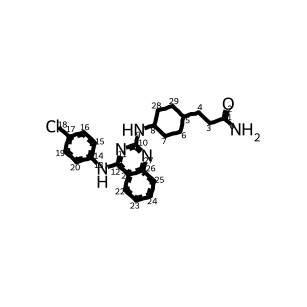 NC(=O)CCC1CCC(Nc2nc(Nc3ccc(Cl)cc3)c3ccccc3n2)CC1